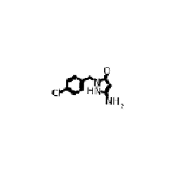 Nc1cc(=O)n(Cc2ccc(Cl)cc2)[nH]1